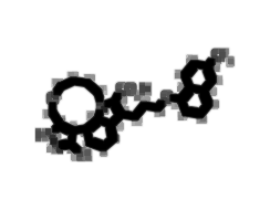 CCc1n[nH]c2c1-c1cccc3c(CCCOc4cccc5cc(C(F)(F)F)ccc45)c(C(=O)O)n(c13)CCCCOC2